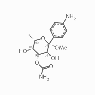 CO[C@@]1(c2ccc(N)cc2)O[C@@H](C)[C@@H](O)[C@@H](OC(N)=O)[C@@H]1O